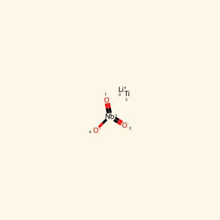 [Li+].[O]=[Nb](=[O])[O-].[Ti]